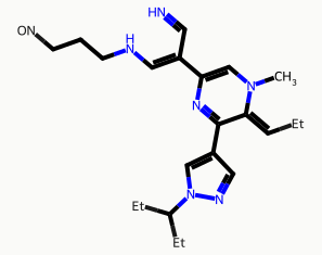 CC/C=C1/C(c2cnn(C(CC)CC)c2)=NC(/C(C=N)=C/NCCCN=O)=CN1C